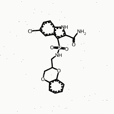 NC(=O)c1[nH]c2ccc(Cl)cc2c1S(=O)(=O)NCC1COc2ccccc2O1